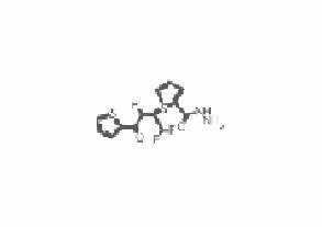 NNC(=O)C1=CC=CS1=C(C(F)F)C(F)C(=O)c1cccs1